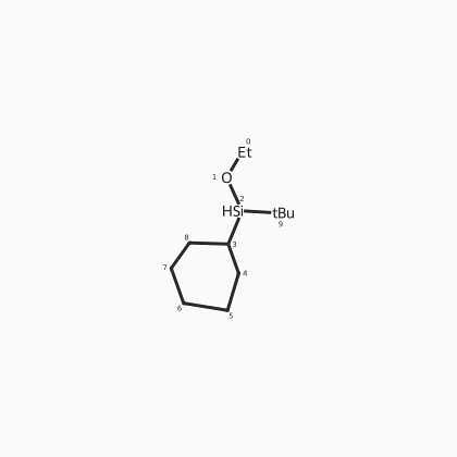 CCO[SiH](C1CCCCC1)C(C)(C)C